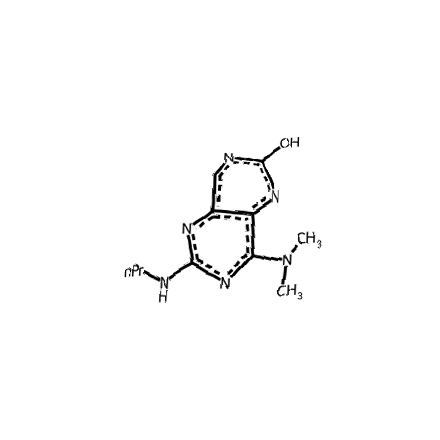 CCCNc1nc(N(C)C)c2nc(O)ncc2n1